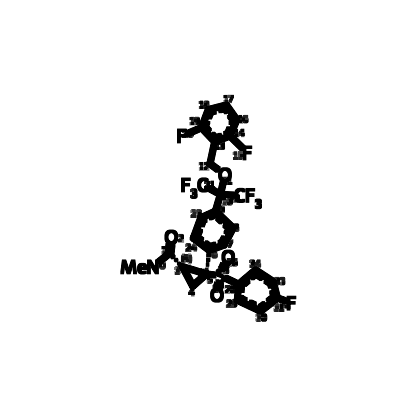 CNC(=O)[C@H]1C[C@]1(c1ccc(C(OCc2c(F)cccc2F)(C(F)(F)F)C(F)(F)F)cc1)S(=O)(=O)c1ccc(F)cc1